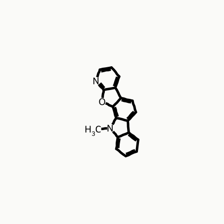 Cn1c2ccccc2c2ccc3c4cccnc4oc3c21